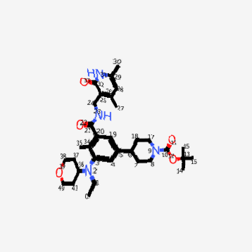 CCN(c1cc(C2CCN(C(=O)OC(C)(C)C)CC2)cc(C(=O)NCc2c(C)cc(C)[nH]c2=O)c1C)C1CCOCC1